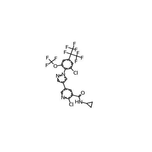 O=C(NC1CC1)c1cc(-c2cnn(-c3c(Cl)cc(C(F)(C(F)(F)F)C(F)(F)F)cc3OC(F)(F)F)c2)cnc1Cl